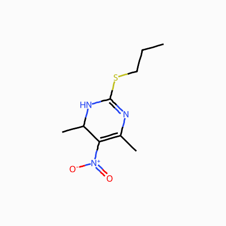 CCCSC1=NC(C)=C([N+](=O)[O-])C(C)N1